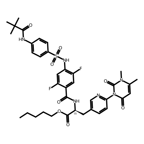 CCCCCOC(=O)[C@H](Cc1ccc(-n2c(=O)cc(C)n(C)c2=O)nc1)NC(=O)c1cc(F)c(NS(=O)(=O)c2ccc(NC(=O)C(C)(C)C)cc2)cc1F